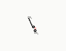 CCCCCCCCCCc1ccc(Oc2ccc(C)cc2)cc1